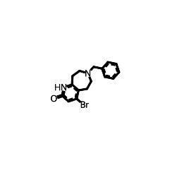 O=c1cc(Br)c2c([nH]1)CCN(Cc1ccccc1)CC2